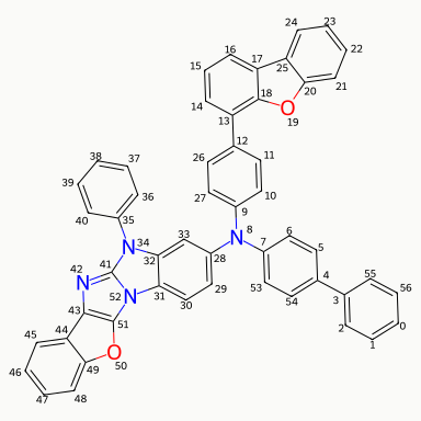 c1ccc(-c2ccc(N(c3ccc(-c4cccc5c4oc4ccccc45)cc3)c3ccc4c(c3)n(-c3ccccc3)c3nc5c6ccccc6oc5n43)cc2)cc1